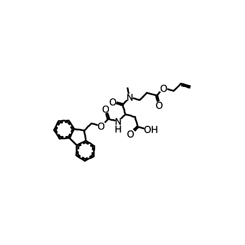 C=CCOC(=O)CCN(C)C(=O)C(CC(=O)O)NC(=O)OCC1c2ccccc2-c2ccccc21